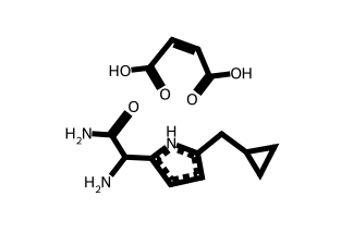 NC(=O)C(N)c1ccc(CC2CC2)[nH]1.O=C(O)/C=C\C(=O)O